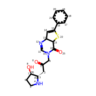 O=C(C[C@@H]1NCC[C@H]1O)CN1C=NC2C=C(c3ccccc3)SC2C1=O